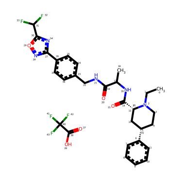 CCN1CC[C@H](c2ccccc2)C[C@@H]1C(=O)NC(C)C(=O)NCc1ccc(-c2noc(C(F)F)n2)cc1.O=C(O)C(F)(F)F